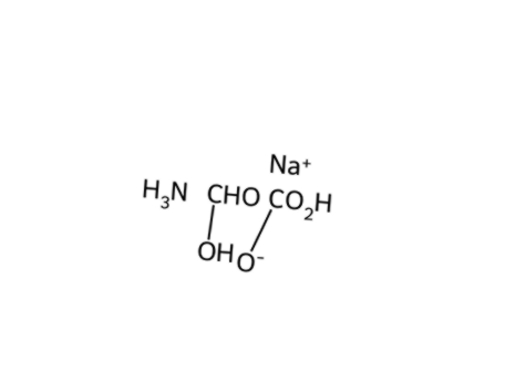 N.O=C([O-])O.O=CO.[Na+]